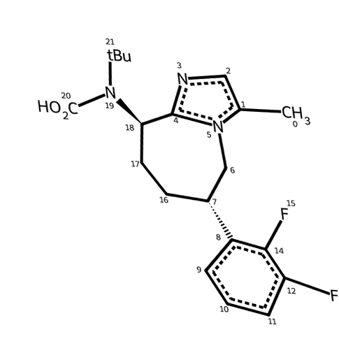 Cc1cnc2n1C[C@H](c1cccc(F)c1F)CC[C@H]2N(C(=O)O)C(C)(C)C